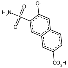 NS(=O)(=O)c1cc2cc(C(=O)O)ccc2cc1[O]